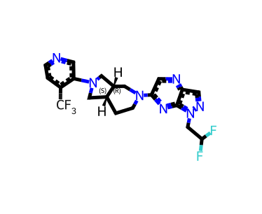 FC(F)Cn1ncc2ncc(N3CC[C@@H]4CN(c5cnccc5C(F)(F)F)C[C@@H]4C3)nc21